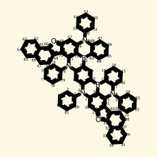 c1ccc(N2c3cc4c(cc3B3c5ccccc5N(c5ccccc5)c5c3c2cc2oc3c6ccccc6ccc3c52)B2c3ccccc3N(c3ccccc3)c3cc5oc6c7ccccc7ccc6c5c(c32)N4c2ccccc2)cc1